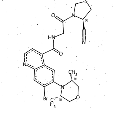 C[C@@H]1COC[C@H](C)N1c1cc2c(C(=O)NCC(=O)N3CSC[C@H]3C#N)ccnc2cc1Br